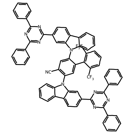 N#Cc1cc(-n2c3ccccc3c3ccc(-c4nc(-c5ccccc5)nc(-c5ccccc5)n4)cc32)c(-c2c(C(F)(F)F)cccc2C(F)(F)F)cc1-n1c2ccccc2c2ccc(-c3nc(-c4ccccc4)nc(-c4ccccc4)n3)cc21